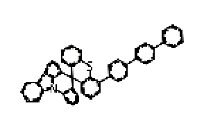 c1ccc(-c2ccc(-c3ccc(-c4cccc5c4Sc4ccccc4C54c5ccccc5-n5c6ccccc6c6cccc4c65)cc3)cc2)cc1